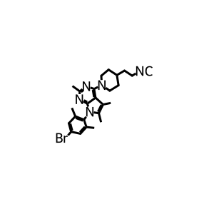 [C-]#[N+]CCC1CCN(c2nc(C)nc3c2c(C)c(C)n3-c2c(C)cc(Br)cc2C)CC1